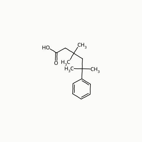 CC(C)(CC(=O)O)CC(C)(C)c1ccccc1